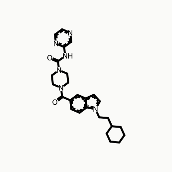 O=C(Nc1cnccn1)N1CCN(C(=O)c2ccc3c(ccn3CCC3CCCCC3)c2)CC1